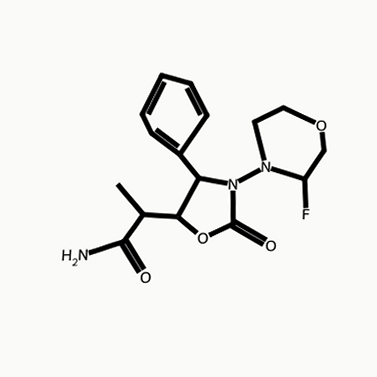 CC(C(N)=O)C1OC(=O)N(N2CCOCC2F)C1c1ccccc1